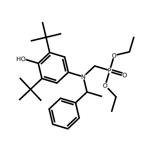 CCOP(=O)(CN(c1cc(C(C)(C)C)c(O)c(C(C)(C)C)c1)C(C)c1ccccc1)OCC